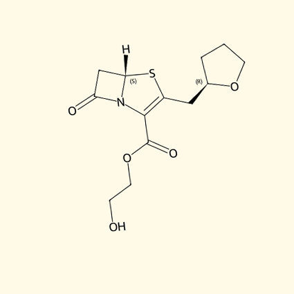 O=C(OCCO)C1=C(C[C@H]2CCCO2)S[C@H]2CC(=O)N12